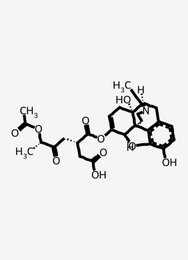 CC(=O)O[C@@H](C)C(=O)C[C@@H](CC(=O)O)C(=O)OC1=CC[C@@]2(O)[C@H]3Cc4ccc(O)c5c4[C@@]2(CCN3C)[C@H]1O5